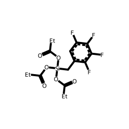 CCC(=O)O[Si](Cc1cc(F)c(F)c(F)c1F)(OC(=O)CC)OC(=O)CC